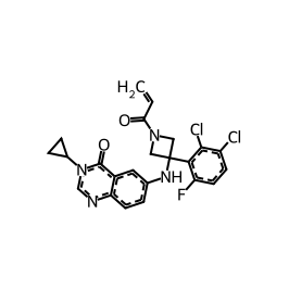 C=CC(=O)N1CC(Nc2ccc3ncn(C4CC4)c(=O)c3c2)(c2c(F)ccc(Cl)c2Cl)C1